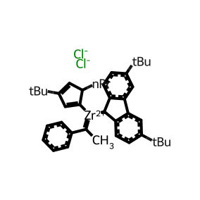 CCCC1C=C(C(C)(C)C)C=[C]1/[Zr+2](=[C](/C)c1ccccc1)[CH]1c2ccc(C(C)(C)C)cc2-c2cc(C(C)(C)C)ccc21.[Cl-].[Cl-]